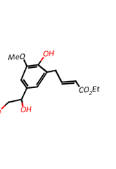 CCOC(=O)C=CCc1cc(C(O)CO)cc(OC)c1O